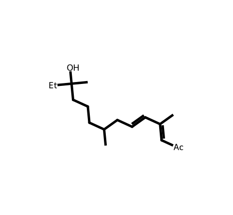 CCC(C)(O)CCCC(C)CC=CC(C)=CC(C)=O